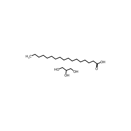 CCCCCCCCCCCCCCCCC(=O)O.OCC(O)CO